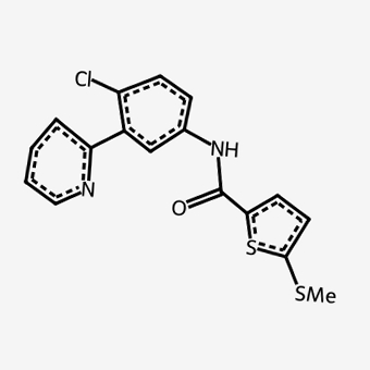 CSc1ccc(C(=O)Nc2ccc(Cl)c(-c3ccccn3)c2)s1